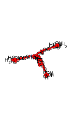 N=N/C(=C\NCCOCCOCCOCCOC[C@@]12CO[C@H](O1)[C@H](N)[C@@H](O)[C@H]2O)COCC(COCc1cn(CCOCCOCCOCCOC[C@@]23CO[C@@H](O2)[C@H](N)[C@@H](O)[C@H]3O)nn1)(COCc1cn(CCOCCOCCOCCOC[C@]23CO[C@H](C[C@@H](O)[C@H]2O)O3)nn1)NC(=O)CCCOCc1ccccc1